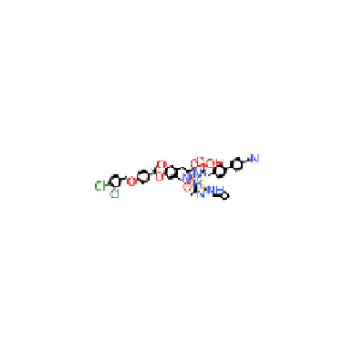 Cc1nc(NCC2CCC2)sc1S(=O)(=O)N1Cc2cc3c(cc2CC1C(=O)N[C@@H](Cc1ccc(-c2ccc(C#N)cc2)cc1)C(=O)O)OC[C@H](c1ccc(OCc2ccc(Cl)c(Cl)c2)cc1)O3